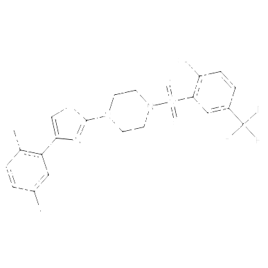 Cc1ccc(C)c(-c2csc(N3CCN(S(=O)(=O)c4cc(C(F)(F)F)ccc4Cl)CC3)n2)c1